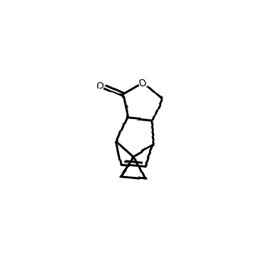 O=C1OCC2C1C1C=CC2C12CC2